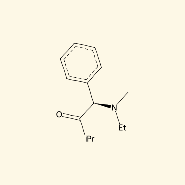 CCN(C)[C@@H](C(=O)C(C)C)c1ccccc1